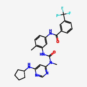 Cc1ccc(NC(=O)c2cccc(C(F)(F)F)c2)cc1NC(=O)N(C)c1cc(NC2CCCC2)ncn1